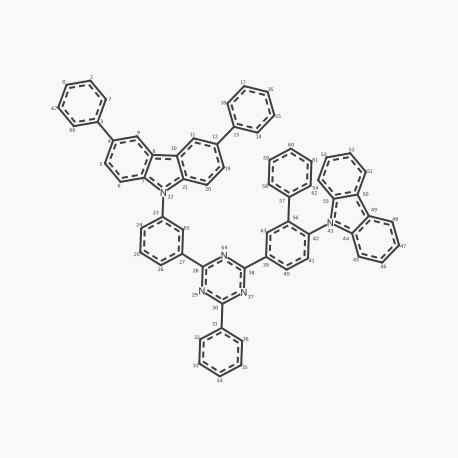 c1ccc(-c2ccc3c(c2)c2cc(-c4ccccc4)ccc2n3-c2cccc(-c3nc(-c4ccccc4)nc(-c4ccc(-n5c6ccccc6c6ccccc65)c(-c5ccccc5)c4)n3)c2)cc1